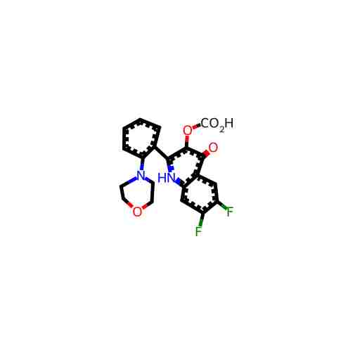 O=C(O)Oc1c(-c2ccccc2N2CCOCC2)[nH]c2cc(F)c(F)cc2c1=O